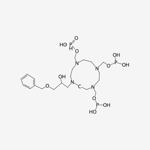 O=[PH](O)OCN1CCN(COP(O)O)CCN(COP(O)O)CCN(CC(O)COCc2ccccc2)CC1